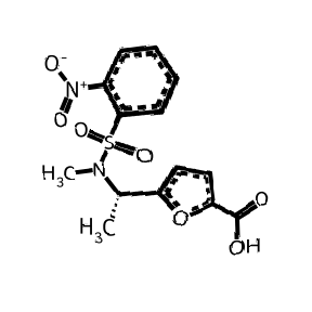 C[C@@H](c1ccc(C(=O)O)o1)N(C)S(=O)(=O)c1ccccc1[N+](=O)[O-]